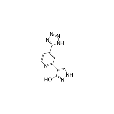 Oc1n[nH]cc1-c1cc(-c2nnn[nH]2)ccn1